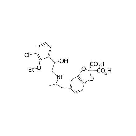 CCOc1c(Cl)cccc1C(O)CNC(C)Cc1ccc2c(c1)OC(C(=O)O)(C(=O)O)O2